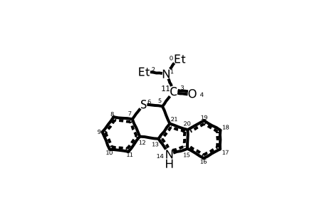 CCN(CC)[11C](=O)C1Sc2ccccc2-c2[nH]c3ccccc3c21